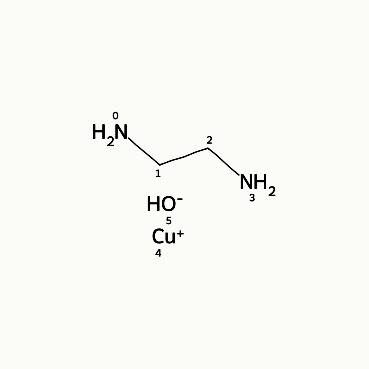 NCCN.[Cu+].[OH-]